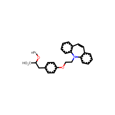 CCCOC(Cc1ccc(OCCN2c3ccccc3C=Cc3ccccc32)cc1)C(=O)O